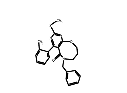 CSc1nc2c(c(-c3ccccc3C)n1)C(=O)N(Cc1ccccc1)CCCO2